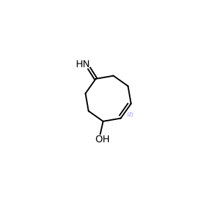 N=C1CC/C=C\C(O)CC1